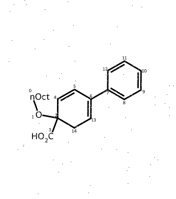 CCCCCCCCOC1(C(=O)O)C=CC(c2ccccc2)=CC1